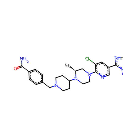 CC[C@H]1CN(c2ncc(-c3ncc[nH]3)cc2Cl)CCN1C1CCN(Cc2ccc(C(N)=O)cc2)CC1